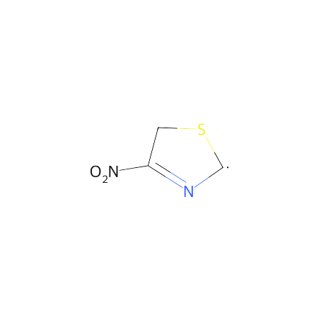 O=[N+]([O-])C1=N[CH]SC1